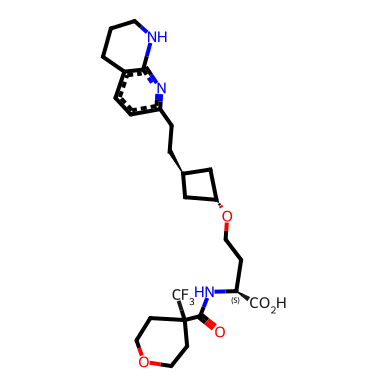 O=C(O)[C@H](CCO[C@H]1C[C@H](CCc2ccc3c(n2)NCCC3)C1)NC(=O)C1(C(F)(F)F)CCOCC1